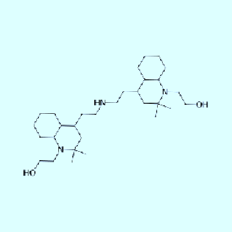 CC1(C)CC(CCNCCC2CC(C)(C)N(CCO)C3CCCCC23)C2CCCCC2N1CCO